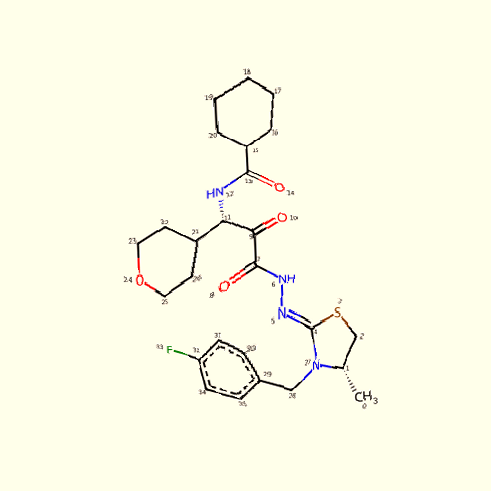 C[C@H]1CSC(=NNC(=O)C(=O)[C@@H](NC(=O)C2CCCCC2)C2CCOCC2)N1Cc1ccc(F)cc1